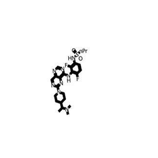 CCCS(=O)(=O)Nc1ccc(F)c(Nc2ncnc3cnc(N4CCC(C(C)N(C)C)CC4)nc23)c1F